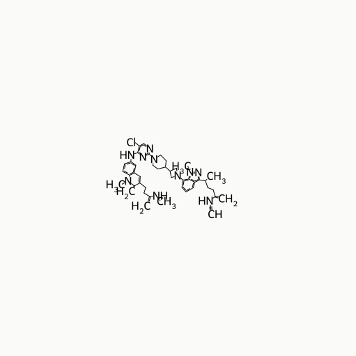 C#CNC(=C)CCC(C)c1nn(C)c2c(N3CC(C4CCN(c5ncc(Cl)c(Nc6ccc7c(c6)C=C(CCC(=C)NC)C(=C)N7C)n5)CC4)C3)cccc12